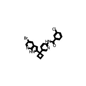 O=C(Nc1ccc(C2(c3cc4cc(Br)cnc4[nH]3)CCC2)cn1)c1cccc(Cl)c1